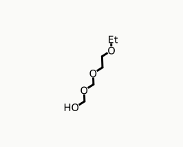 CCOCCOCOCO